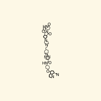 N#Cc1ccc(O[C@H]2CC[C@H](NC(=O)c3cnc(N4CCC(CCN5CCN(c6ccc7c(c6)C(=O)N(C6CCC(=O)NC6=O)C7=O)CC5)CC4)nc3)CC2)c2cccnc12